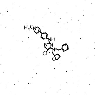 CN1CCN(c2ccc(Nc3ncc(Cl)c(N(CCc4ccccc4)CC4CCCO4)n3)cc2)CC1